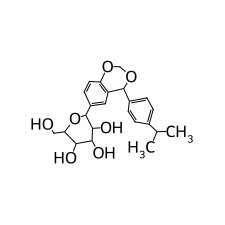 CC(C)c1ccc(C2OCOc3ccc(C4OC(CO)C(O)C(O)C4O)cc32)cc1